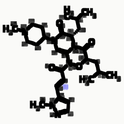 CC(C)C[C@H]1ON(C(=O)/C=C/c2ccnn2C)C2=CN(C3CCN(C)CC3)C(=O)[C@H](CC(C)C)N2C1=O